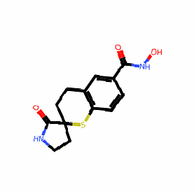 O=C(NO)c1ccc2c(c1)CCC1(CCNC1=O)S2